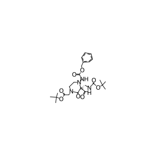 CC(=O)[C@@]1(CNC(=O)OC(C)(C)C)C(=O)N(CC(=O)OC(C)(C)C)CCN1NC(=O)OCc1ccccc1